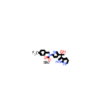 CC(C)(C)OC(=O)N(Cc1ccc(C(F)(F)F)cc1)c1ccc(C(C)(O)c2c[nH]c3ncccc23)cn1